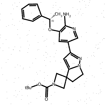 C[C@H](Oc1cc(-c2cc3n(n2)CCC32CN(C(=O)OC(C)(C)C)C2)cnc1N)c1ccccc1